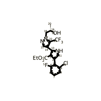 CCOC(=O)c1c(-c2c(F)cccc2Cl)c[nH]c1-c1cnn(C[C@H](C)O)c1C(F)(F)F